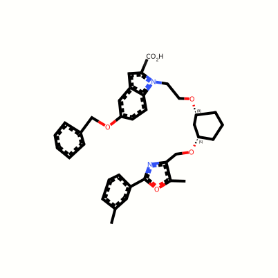 Cc1cccc(-c2nc(CO[C@H]3CCC[C@@H](OCCn4c(C(=O)O)cc5cc(OCc6ccccc6)ccc54)C3)c(C)o2)c1